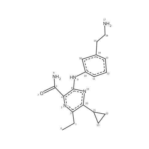 CCc1nc(C(N)=O)c(Nc2cccc(CCN)c2)nc1C1CC1